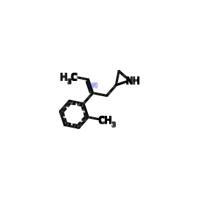 C/C=C(/CC1CN1)c1ccccc1C